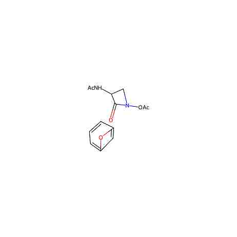 CC(=O)NC1CN(OC(C)=O)C1=O.c1cc2cc(c1)O2